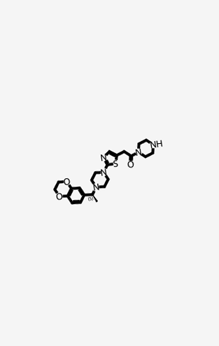 C[C@@H](c1ccc2c(c1)OCCO2)N1CCN(c2ncc(CC(=O)N3CCNCC3)s2)CC1